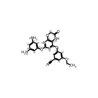 CCOc1cc(C#N)cc(Oc2nc(Oc3cc(N)cc(N)c3)nc3c2NC(=O)CO3)c1